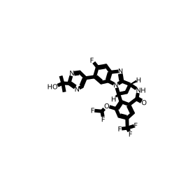 CC(C)(O)c1ncc(-c2cc3c(cc2F)nc2n3[C@@H]3C[C@H]2NC(=O)c2cc(C(F)(F)F)cc(OC(F)F)c23)cn1